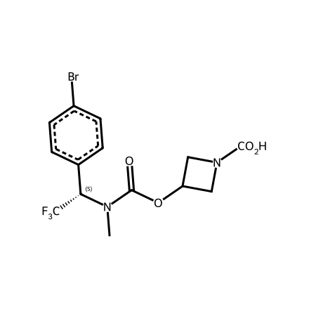 CN(C(=O)OC1CN(C(=O)O)C1)[C@@H](c1ccc(Br)cc1)C(F)(F)F